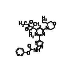 C[C@H]1COCCN1c1cc(C(C)(C)S(C)(=O)=O)nc(-c2cnc(NC(=O)Oc3ccccc3)s2)n1